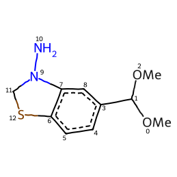 COC(OC)c1ccc2c(c1)N(N)CS2